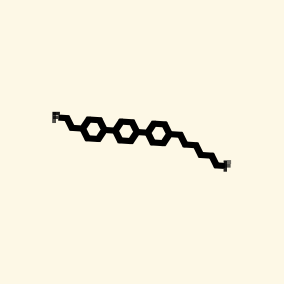 FCCCCCCC1CCC(C2CCC(C3CCC(CCF)CC3)CC2)CC1